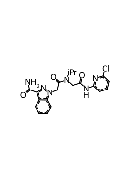 CC(C)N(CC(=O)Nc1cccc(Cl)n1)C(=O)Cn1nc(C(N)=O)c2ccccc21